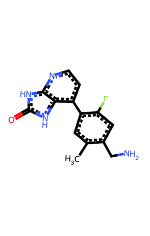 Cc1cc(-c2ccnc3[nH]c(=O)[nH]c23)c(F)cc1CN